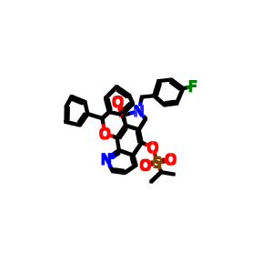 CC(C)S(=O)(=O)Oc1c2c(c(OC(c3ccccc3)c3ccccc3)c3ncccc13)C(=O)N(Cc1ccc(F)cc1)C2